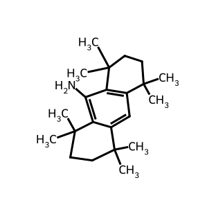 CC1(C)CCC(C)(C)c2c1cc1c(c2N)C(C)(C)CCC1(C)C